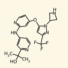 CC(C)(O)c1cc(Nc2cc(Oc3cc(C(F)(F)F)nn3C3CNC3)ccn2)ccn1